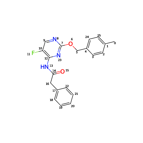 Cc1ccc(COc2ncc(F)c(NC(=O)Cc3ccccc3)n2)cc1